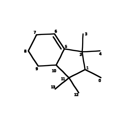 CC1C(C)(C)C2=CCCCC2C1(C)C